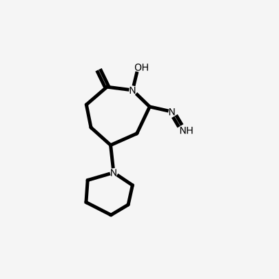 C=C1CCC(N2CCCCC2)CC(N=N)N1O